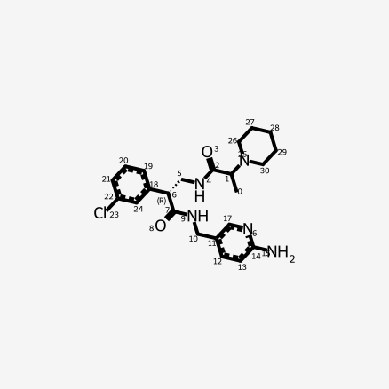 CC(C(=O)NC[C@H](C(=O)NCc1ccc(N)nc1)c1cccc(Cl)c1)N1CCCCC1